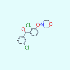 O=C(c1cccc(Cl)c1)c1cccc(ON2CCOCC2)c1Cl